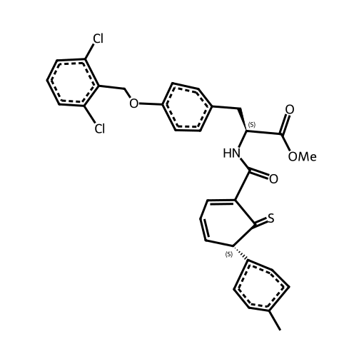 COC(=O)[C@H](Cc1ccc(OCc2c(Cl)cccc2Cl)cc1)NC(=O)C1=CC=C[C@@H](c2ccc(C)cc2)C1=S